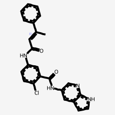 C/C(=C\C(=O)Nc1ccc(Cl)c(C(=O)Nc2cnc3[nH]ccc3c2)c1)c1ccccc1